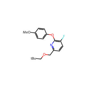 COc1ccc(Oc2nc(COCC(C)(C)C)ccc2F)cc1